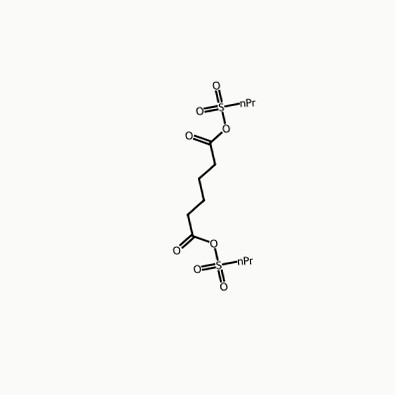 CCCS(=O)(=O)OC(=O)CCCCC(=O)OS(=O)(=O)CCC